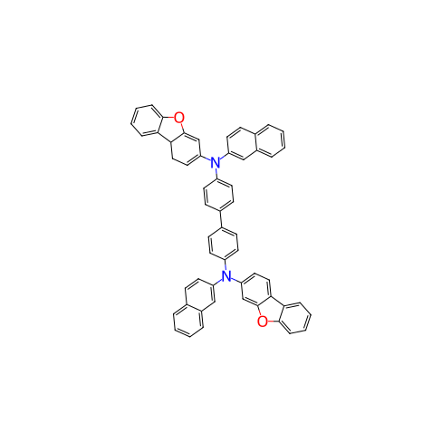 C1=C2Oc3ccccc3C2CC=C1N(c1ccc(-c2ccc(N(c3ccc4ccccc4c3)c3ccc4c(c3)oc3ccccc34)cc2)cc1)c1ccc2ccccc2c1